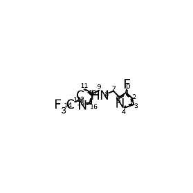 Fc1cccnc1CNCc1ccc(C(F)(F)F)nc1